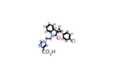 O=C(O)c1cn(CCN2C(=O)[C@]3(C[C@@H]3c3ccc(Cl)cc3)c3ccccc32)cn1